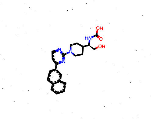 O=C(O)N[C@@H](CO)C1CCN(c2nccc(-c3ccc4ccccc4c3)n2)CC1